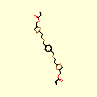 C=CC(=O)OCC1CSC(CCSCc2ccc(CSCCC3SCC(COC(=O)C=C)S3)cc2)S1